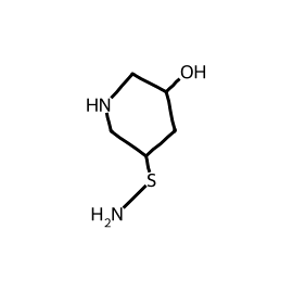 NSC1CNCC(O)C1